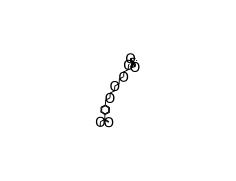 COC(=O)c1ccc(COCCOCCOCCOS(C)(=O)=O)cc1